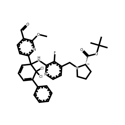 COc1nc(C2(Nc3nccc(CN4CCC[C@H]4C(=O)OC(C)(C)C)c3F)C=CC=C(c3ccccc3)C2(Cl)Cl)ccc1C=O